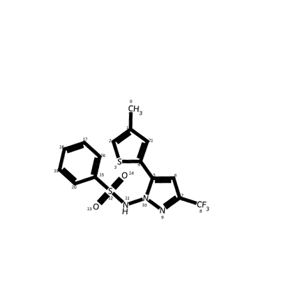 Cc1csc(-c2cc(C(F)(F)F)nn2NS(=O)(=O)c2ccccc2)c1